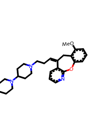 COc1cccc2c1C/C(=C/CCN1CCC(N3CCCCC3)CC1)c1cccnc1O2